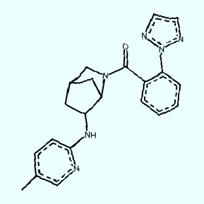 Cc1ccc(NC2CC3CC2N(C(=O)c2ccccc2-n2nccn2)C3)nc1